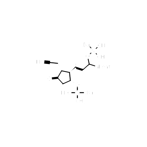 C#CC[C@H]1C(=O)C[C@@H](O[Si](C)(C)C(C)(C)C)[C@@H]1C=CC(CCCCC)O[Si](C)(C)C(C)(C)C